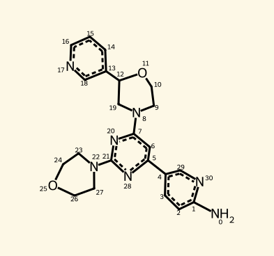 Nc1ccc(-c2cc(N3CCOC(c4cccnc4)C3)nc(N3CCOCC3)n2)cn1